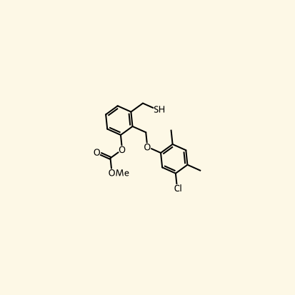 COC(=O)Oc1cccc(CS)c1COc1cc(Cl)c(C)cc1C